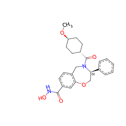 CO[C@H]1CC[C@H](C(=O)N2Cc3ccc(C(=O)NO)cc3OC[C@@H]2c2ccccc2)CC1